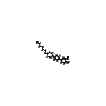 F/C=C/CCCCC1CCC(c2ccc(-c3ccc(F)c(F)c3)cc2)CC1